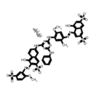 COc1ccc(S(=O)(=O)[O-])cc1N=Nc1c(S(=O)(=O)[O-])cc2cc(Nc3nc(Nc4ccccc4)nc(Nc4cc(C)c(N=Nc5cc(S(=O)(=O)[O-])cc6cc(S(=O)(=O)[O-])cc(O)c56)cc4OC)n3)ccc2c1O.[Na+].[Na+].[Na+].[Na+]